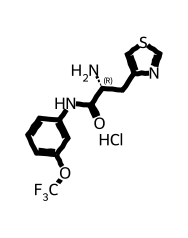 Cl.N[C@H](Cc1cscn1)C(=O)Nc1cccc(OC(F)(F)F)c1